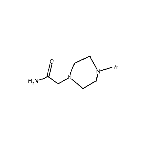 CC(C)N1CCN(CC(N)=O)CC1